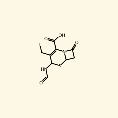 O=CNC1SC2CC(=O)N2C(C(=O)O)=C1CI